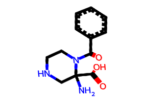 NC1(C(=O)O)CNCCN1C(=O)c1ccccc1